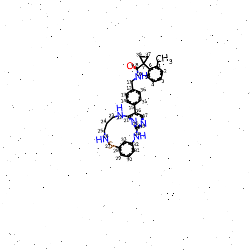 Cc1ccccc1C1(C(=O)NCc2ccc(-c3cnc4nc3NCCCNSc3cccc(c3)N4)cc2)CC1